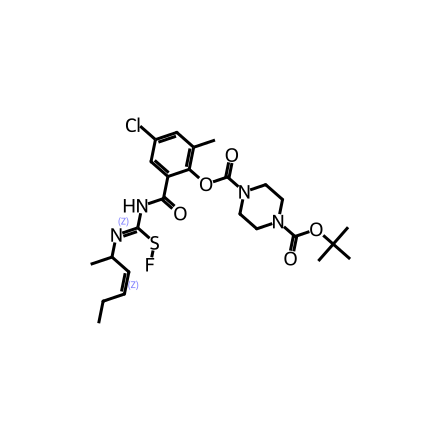 CC/C=C\C(C)/N=C(/NC(=O)c1cc(Cl)cc(C)c1OC(=O)N1CCN(C(=O)OC(C)(C)C)CC1)SF